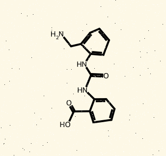 NCc1ccccc1NC(=O)Nc1ccccc1C(=O)O